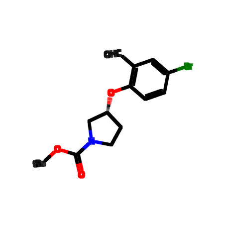 CC(C)(C)OC(=O)N1CC[C@@H](Oc2ccc(Br)cc2C=O)C1